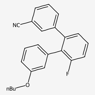 CCCCOc1cccc(-c2c(F)cccc2-c2cccc(C#N)c2)c1